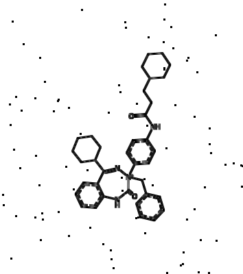 O=C(CCC1CCCCC1)Nc1ccc([N+]2(Cc3ccccc3)N=C(C3CCCCC3)c3ccccc3NC2=O)cc1